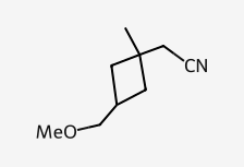 COCC1CC(C)(CC#N)C1